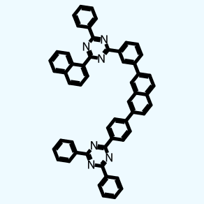 c1ccc(-c2nc(-c3ccccc3)nc(-c3ccc(-c4ccc5ccc(-c6cccc(-c7nc(-c8ccccc8)nc(-c8cccc9ccccc89)n7)c6)cc5c4)cc3)n2)cc1